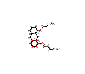 CCCCCCCCCCCCCOc1cccc2c1C1c3c(OCCCCCCCCCCCC)cccc3C2c2cccc(OCCCCCCCCCCCC)c21